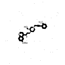 COc1ccc2nccc([C@@H](F)CC[C@@H]3CCN(CC#Cc4ccccc4C)C[C@@H]3CO)c2c1